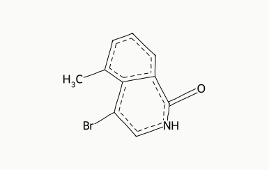 Cc1cccc2c(=O)[nH]cc(Br)c12